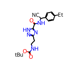 CCc1ccc(C(C#N)NC(=O)c2nc(CCNC(=O)OC(C)(C)C)n[nH]2)cc1